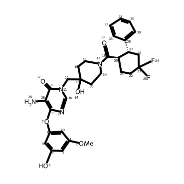 COc1cc(O)cc(Oc2ncn(CC3(O)CCN(C(=O)[C@@H]4CCC(F)(F)C[C@H]4c4ccccc4)CC3)c(=O)c2N)c1